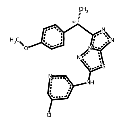 COc1ccc([C@H](C)c2nnc3sc(Nc4cncc(Cl)c4)nn23)cc1